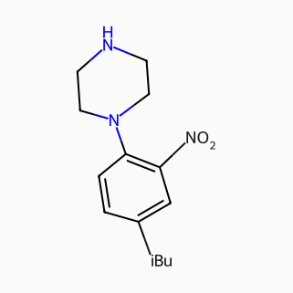 CCC(C)c1ccc(N2CCNCC2)c([N+](=O)[O-])c1